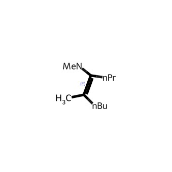 CCCC/C(C)=C(\CCC)NC